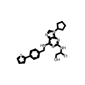 CCC(CO)Nc1nc(NCc2ccc(-c3cccs3)cc2)c2ncn(C3CCCC3)c2n1